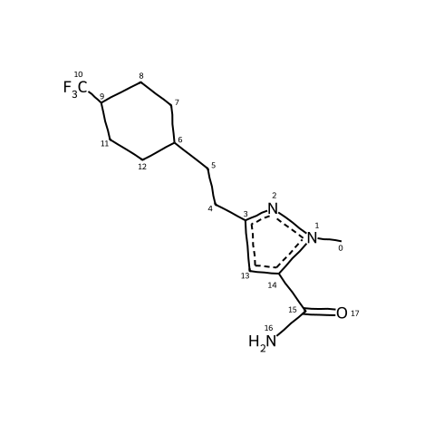 Cn1nc(CCC2CCC(C(F)(F)F)CC2)cc1C(N)=O